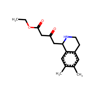 CCOC(=O)CC(=O)CC1NCCc2cc(C)c(C)cc21